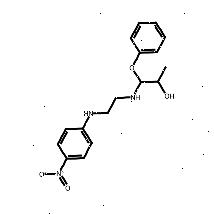 CC(O)C(NCCNc1ccc([N+](=O)[O-])cc1)Oc1ccccc1